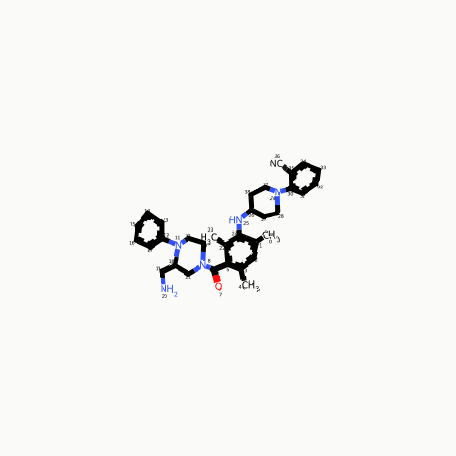 Cc1cc(C)c(C(=O)N2CCN(c3ccccc3)C(CN)C2)c(C)c1NC1CCN(c2ccccc2C#N)CC1